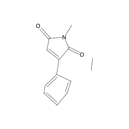 CC.CN1C(=O)C=C(c2ccccc2)C1=O